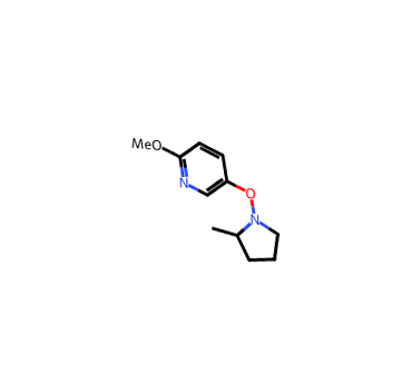 COc1ccc(ON2CCCC2C)cn1